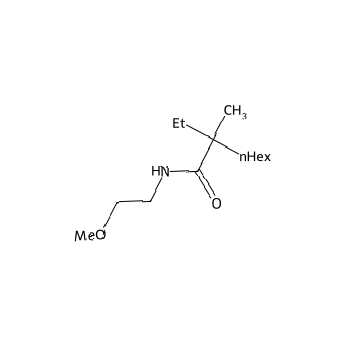 CCCCCCC(C)(CC)C(=O)NCCOC